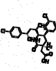 CC(C[C@H](O)c1ccc(Cl)cc1)[C@@H]1NC(=O)[C@](C)(CC(=O)O)C[C@@H]1c1cccc(Cl)c1